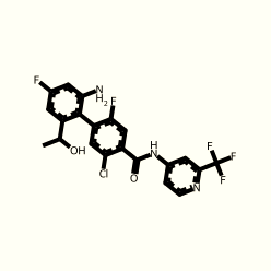 CC(O)c1cc(F)cc(N)c1-c1cc(Cl)c(C(=O)Nc2ccnc(C(F)(F)F)c2)cc1F